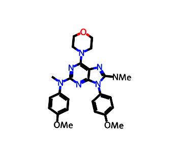 CNc1nc2c(N3CCOCC3)nc(N(C)c3ccc(OC)cc3)nc2n1-c1ccc(OC)cc1